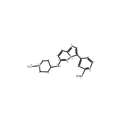 CC(=O)Nc1cc(-c2cnc3ccc(NC4CCN(C)CC4)nn23)ccn1